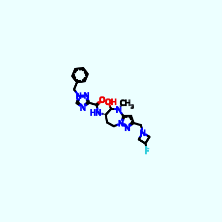 CN1c2cc(CN3CC(F)C3)nn2CC[C@H](NC(=O)c2ncn(Cc3ccccc3)n2)C1O